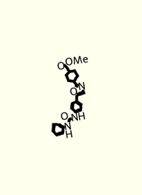 COC(=O)C1CCC(c2ncc(-c3ccc(NC(=O)Nc4ccccc4)cc3)o2)CC1